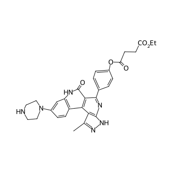 CCOC(=O)CCC(=O)Oc1ccc(-c2nc3[nH]nc(C)c3c3c2c(=O)[nH]c2cc(N4CCNCC4)ccc23)cc1